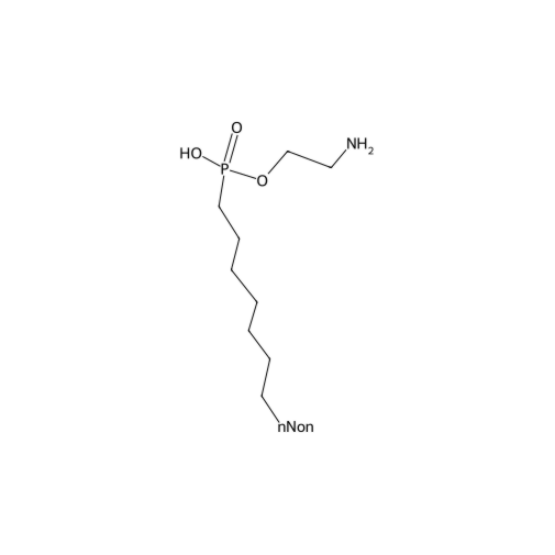 CCCCCCCCCCCCCCCCP(=O)(O)OCCN